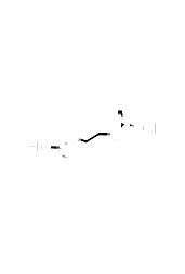 OP(F)OCCOP(O)F